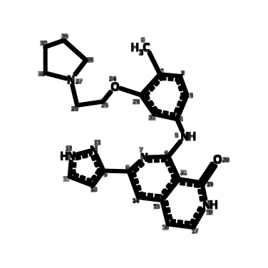 Cc1ccc(Nc2nc(-c3cc[nH]n3)cc3cc[nH]c(=O)c23)cc1OCCN1CCCC1